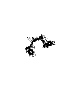 BN(CCCCN(B)CCCNc1ccnc2cc(Cl)ccc12)CCCNc1ccnc2cc(Cl)ccc12